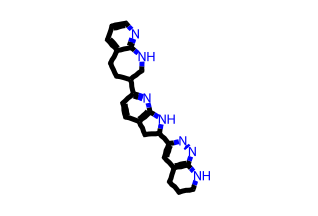 c1cnc2c(c1)CCC(c1ccc3c(n1)NC(c1cc4c(nn1)NCCC4)C3)CN2